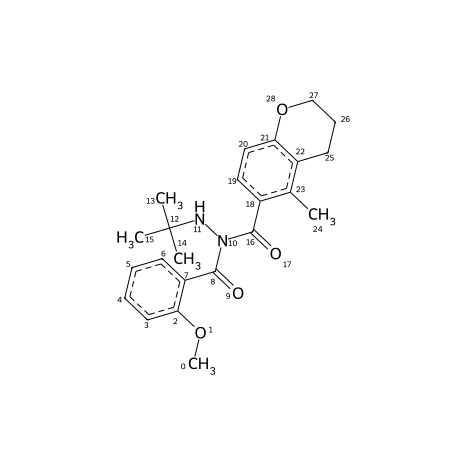 COc1ccccc1C(=O)N(NC(C)(C)C)C(=O)c1ccc2c(c1C)CCCO2